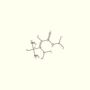 CC(C(=O)OC(C)C)=C(C(C)C)C(C)(N)N